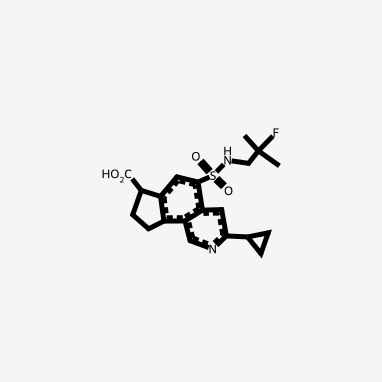 CC(C)(F)CNS(=O)(=O)c1cc2c(c3cnc(C4CC4)cc13)CCC2C(=O)O